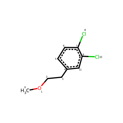 COCCc1ccc(Cl)c(Cl)c1